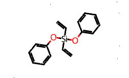 C=C[Si](C=C)(Oc1ccccc1)Oc1ccccc1